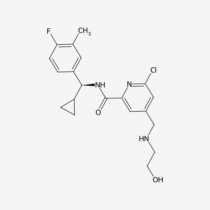 Cc1cc([C@@H](NC(=O)c2cc(CNCCO)cc(Cl)n2)C2CC2)ccc1F